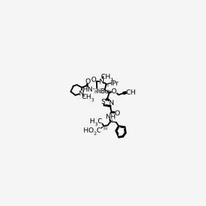 C#CCO[C@H](C[C@H](C(C)C)N(C)C(=O)[C@@H](NC(=O)C1CCCCN1C)[C@@H](C)CC)c1nc(C(=O)N[C@@H](Cc2ccccc2)C[C@H](C)C(=O)O)cs1